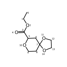 CCOC(=O)C1CC2(CCO1)OCCO2